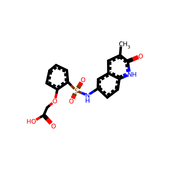 Cc1cc2cc(NS(=O)(=O)c3ccccc3OCC(=O)O)ccc2[nH]c1=O